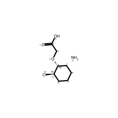 N.O=C(O)CO[C@@H]1CCCC[C@H]1Cl